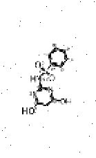 O=S(=O)(Nc1nc(O)cc(O)n1)c1ccccc1